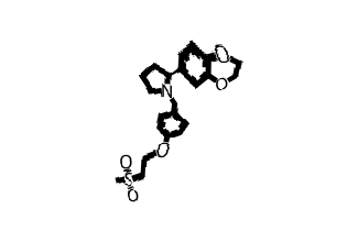 CS(=O)(=O)CCOc1ccc(CN2CCC[C@H]2c2ccc3c(c2)OCCO3)cc1